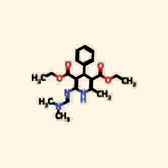 CCOC(=O)C1=C(C)NC(/N=C/N(C)C)=C(C(=O)OCC)C1c1ccccc1